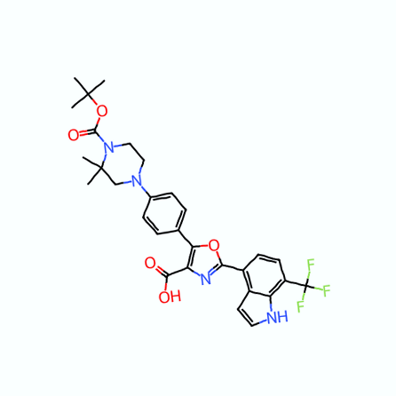 CC(C)(C)OC(=O)N1CCN(c2ccc(-c3oc(-c4ccc(C(F)(F)F)c5[nH]ccc45)nc3C(=O)O)cc2)CC1(C)C